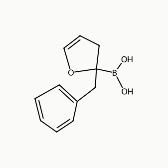 OB(O)C1(Cc2ccccc2)CC=CO1